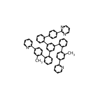 Cc1cc(-c2ccccn2)ccc1-c1ccccc1-c1cc(-c2ccccc2-c2ccc(-c3ncccn3)cc2)cc(-c2ccccc2-c2ccc(-c3ccccn3)cc2C)c1